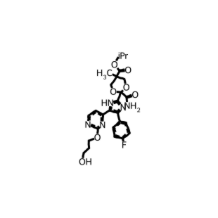 CC(C)OC(=O)C1(C)COC(C(N)=O)(c2nc(-c3ccc(F)cc3)c(-c3ccnc(OCCCO)n3)[nH]2)OC1